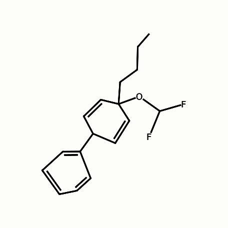 CCCCC1(OC(F)F)C=CC(c2ccccc2)C=C1